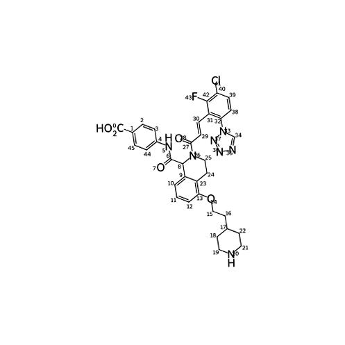 O=C(O)c1ccc(NC(=O)C2c3cccc(OCCC4CCNCC4)c3CCN2C(=O)/C=C/c2c(-n3cnnn3)ccc(Cl)c2F)cc1